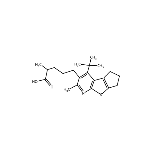 Cc1nc2sc3c(c2c(C(C)(C)C)c1CCCC(C)C(=O)O)CCC3